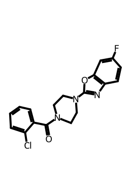 O=C(c1ccccc1Cl)N1CCN(c2nc3ccc(F)cc3o2)CC1